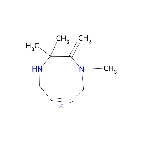 C=C1N(C)C/C=C\CNC1(C)C